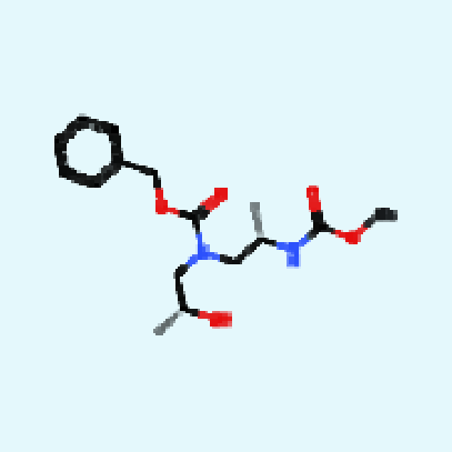 C[C@@H](O)CN(C[C@H](C)NC(=O)OC(C)(C)C)C(=O)OCc1ccccc1